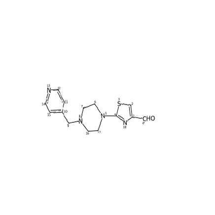 O=Cc1csc(N2CCN(Cc3ccncc3)CC2)n1